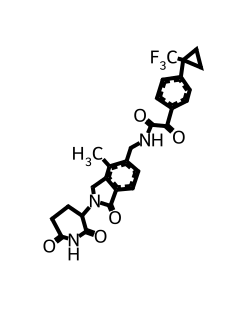 Cc1c(CNC(=O)C(=O)c2ccc(C3(C(F)(F)F)CC3)cc2)ccc2c1CN(C1CCC(=O)NC1=O)C2=O